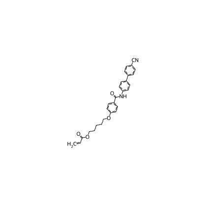 C=CC(=O)OCCCCCOc1ccc(C(=O)Nc2ccc(-c3ccc(C#N)cc3)cc2)cc1